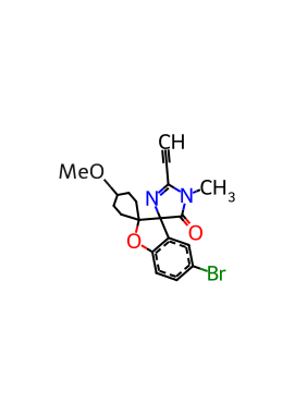 C#CC1=NC2(C(=O)N1C)c1cc(Br)ccc1OC21CCC(OC)CC1